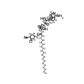 CCCCCCCCCCCCCCCCCCC[C@H](COP(=O)(O)OC[C@@]1(C)OCC(O)(c2ccc3c(N)ncnn23)[C@@H]1O)OCc1ccc(C#N)c(Cl)c1